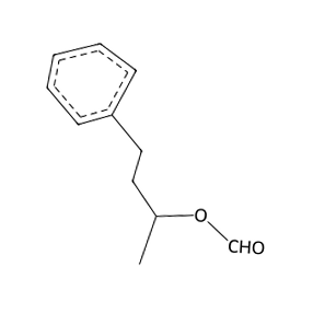 CC(CCc1ccccc1)OC=O